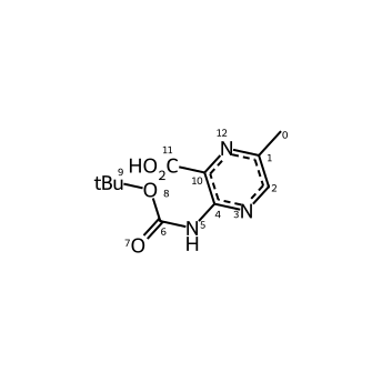 Cc1cnc(NC(=O)OC(C)(C)C)c(C(=O)O)n1